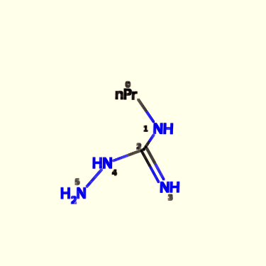 CCCNC(=N)NN